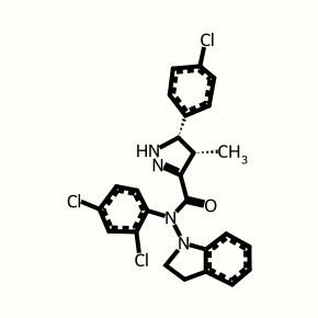 C[C@@H]1C(C(=O)N(c2ccc(Cl)cc2Cl)N2CCc3ccccc32)=NN[C@@H]1c1ccc(Cl)cc1